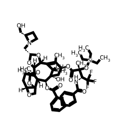 CC[Si](CC)(CC)O[C@@](C)(C(=O)O[C@H]1C[C@@]2(O)[C@@H](OC(=O)c3ccccc3)[C@H]3[C@@](C)(CC[C@H]4OC[C@]43OC(C)=O)[C@@H]3O[C@H](CN4CC[C@H]4CO)O[C@@H]3C(=C1C)C2(C)C)[C@@H](NC(=O)c1ccccc1)C(F)(F)F